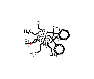 CCC[O][Hf]([CH2]C(C)(C)c1ccccc1)([CH2]C(C)(C)c1ccccc1)([O]CC)([O]CC)([O]CC)([O]CCC)[O]CCC